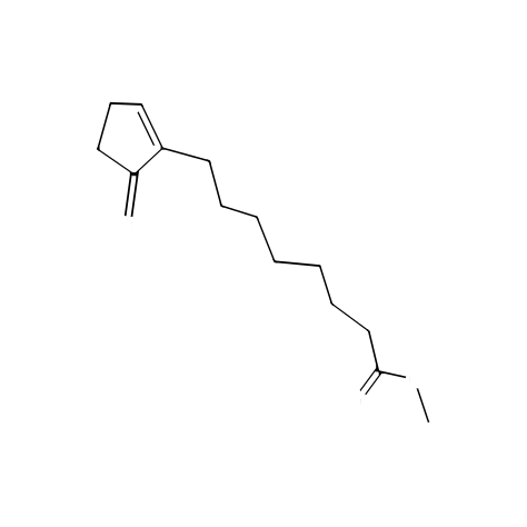 COC(=O)CCCCCCCC1=CCCC1=O